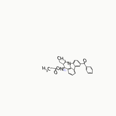 CCC(=O)O/N=C1/c2cccc3c4cc(C(=O)c5ccccc5)ccc4n(c23)CC1CC